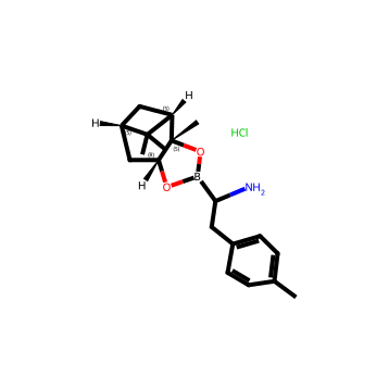 Cc1ccc(CC(N)B2O[C@@H]3C[C@@H]4C[C@@H](C4(C)C)[C@]3(C)O2)cc1.Cl